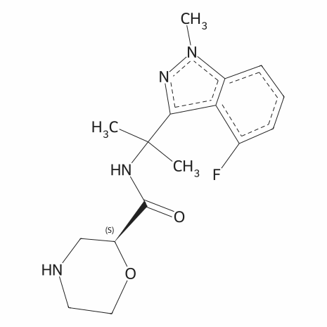 Cn1nc(C(C)(C)NC(=O)[C@@H]2CNCCO2)c2c(F)cccc21